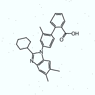 Cc1cc2nc(C3CCCCC3)n(-c3ccc(-c4ccccc4C(=O)O)c(C)c3)c2cc1C